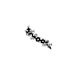 CCCNNC(=O)c1ccc(-c2ccc(NC(=O)CCC(=O)NC(C(C)=O)C(C)(C)C)cc2)cc1